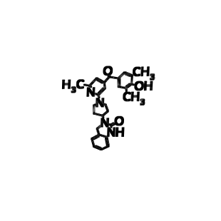 Cc1cc(C(=O)c2cc(C)c(O)c(C)c2)cc(N2CCC(N3Cc4ccccc4NC3=O)CC2)n1